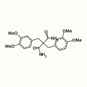 COc1ccc(CC(Cc2ccc(OC)c(OC)c2)(C(N)=O)C(N)=O)cc1OC